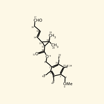 COCc1c(F)c(F)c(COC(=O)C2C(C=CCC=O)C2(C)C)c(F)c1F